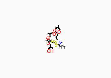 CCCC(=NC)SCCC[Si](C)(OCC(C)CO)OCC(C)CO[Si]1(CCCS)OCC(C)CO1